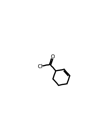 O=C(Cl)C1C=CCCC1